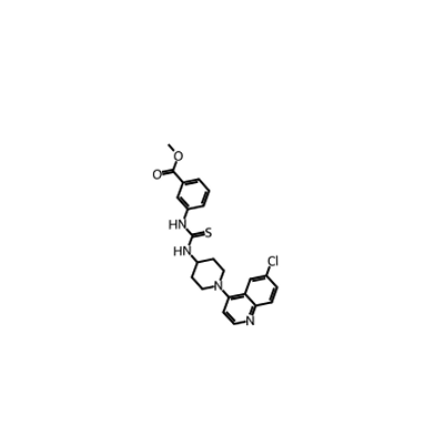 COC(=O)c1cccc(NC(=S)NC2CCN(c3ccnc4ccc(Cl)cc34)CC2)c1